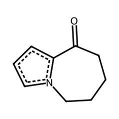 O=C1CCCCn2cccc21